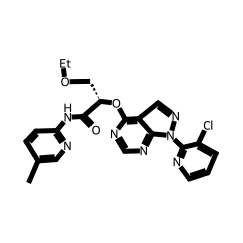 CCOC[C@H](Oc1ncnc2c1cnn2-c1ncccc1Cl)C(=O)Nc1ccc(C)cn1